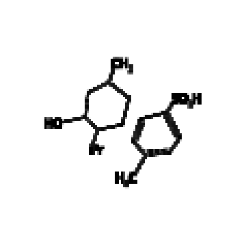 CC1CCC(C(C)C)C(O)C1.Cc1ccc(S(=O)(=O)O)cc1